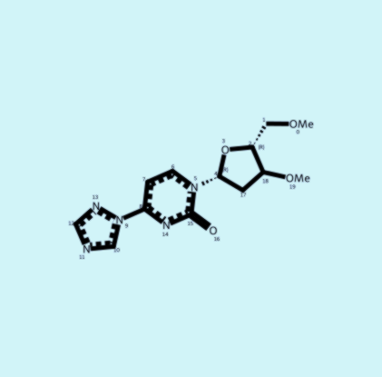 COC[C@H]1O[C@@H](n2ccc(-n3cncn3)nc2=O)CC1OC